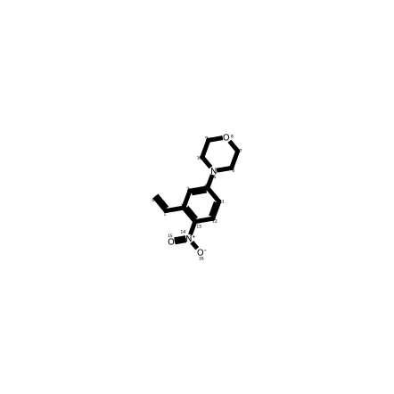 C=Cc1cc(N2CCOCC2)ccc1[N+](=O)[O-]